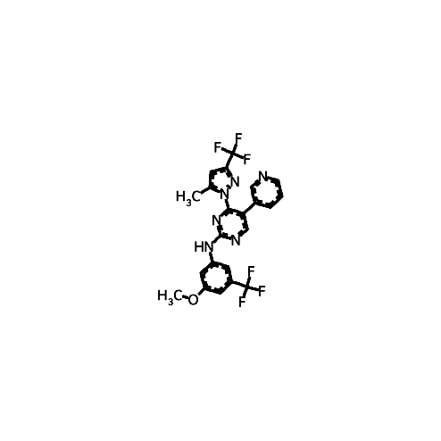 COc1cc(Nc2ncc(-c3cccnc3)c(-n3nc(C(F)(F)F)cc3C)n2)cc(C(F)(F)F)c1